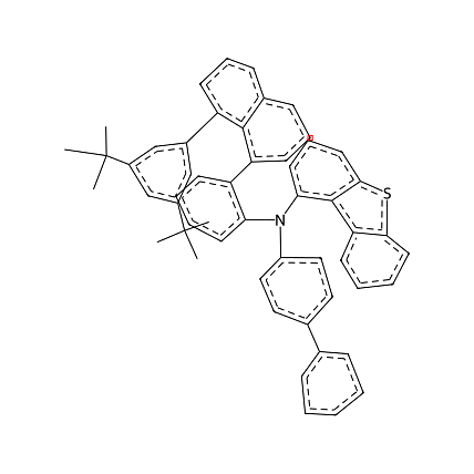 CC(C)(C)c1cc(-c2cccc3cccc(-c4ccccc4N(c4ccc(-c5ccccc5)cc4)c4cccc5sc6ccccc6c45)c23)cc(C(C)(C)C)c1